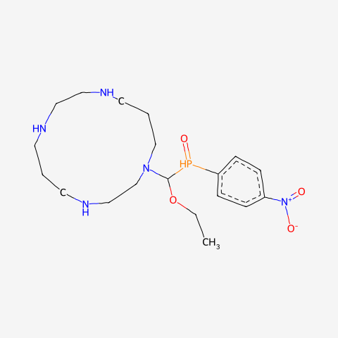 CCOC(N1CCCNCCNCCCNCC1)[PH](=O)c1ccc([N+](=O)[O-])cc1